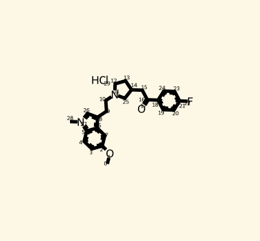 COc1ccc2c(c1)c(CCN1CCC(CC(=O)c3ccc(F)cc3)C1)cn2C.Cl